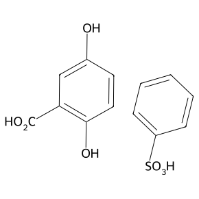 O=C(O)c1cc(O)ccc1O.O=S(=O)(O)c1ccccc1